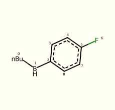 CCCCBc1ccc(F)cc1